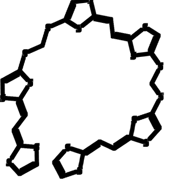 C1=CSC(=CC=C2SC=C(SCSC3=CSC(=CC=C4SC=C(SCSC5=CSC(=CC=C6SC=CS6)S5)S4)S3)S2)S1